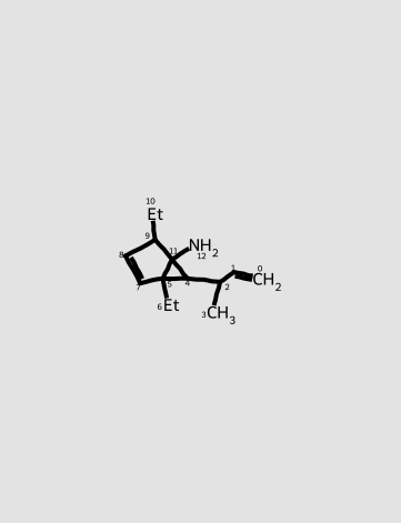 C=CC(C)C1C2(CC)C=CC(CC)C12N